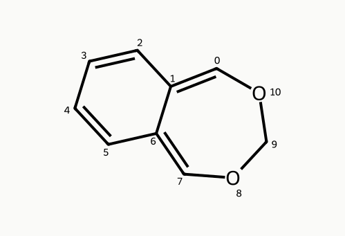 C1=c2ccccc2=COCO1